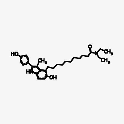 CCN(CC)C(=O)CCCCCCCCCCc1c(O)ccc2[nH]c(-c3ccc(O)cc3)c(C)c12